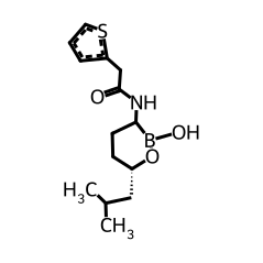 CC(C)C[C@@H]1CCC(NC(=O)Cc2cccs2)B(O)O1